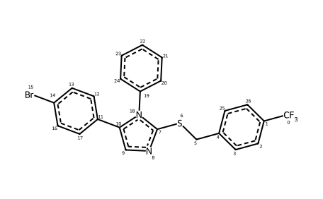 FC(F)(F)c1ccc(CSc2ncc(-c3ccc(Br)cc3)n2-c2ccccc2)cc1